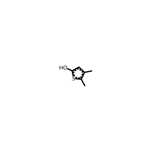 Cc1cc(O)sc1C